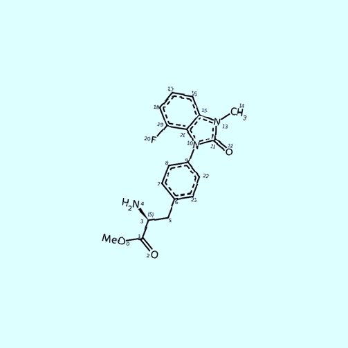 COC(=O)[C@@H](N)Cc1ccc(-n2c(=O)n(C)c3cccc(F)c32)cc1